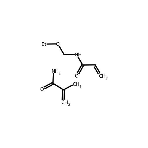 C=C(C)C(N)=O.C=CC(=O)NCOCC